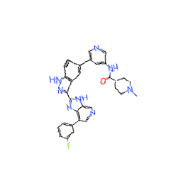 CN1CCC(C(=O)Nc2cncc(-c3ccc4[nH]nc(-c5nc6c(-c7cccc(F)c7)cncc6[nH]5)c4c3)c2)CC1